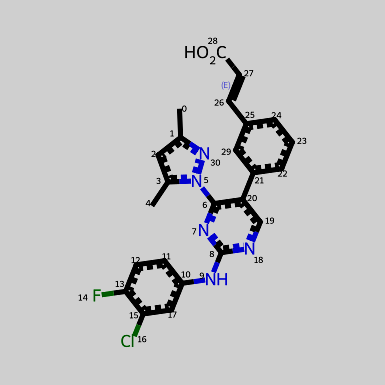 Cc1cc(C)n(-c2nc(Nc3ccc(F)c(Cl)c3)ncc2-c2cccc(/C=C/C(=O)O)c2)n1